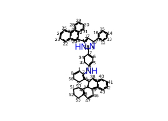 C1=CC(NC2=CC=C(C3=NC(c4ccccc4)C=C(c4cc5ccccc5c5ccccc45)N3)CC2)=C(C2C=c3ccccc3=C3C=CC4=C(CCCC4)C32)CC1